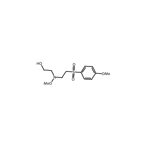 COc1ccc(S(=O)(=O)CCN(CCO)OC)cc1